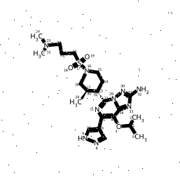 CC(C)Oc1c(-c2cn[nH]c2)nc([C@H]2CCN(S(=O)(=O)CCCN(C)C)C[C@@H]2C)n2nc(N)nc12